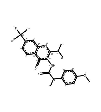 COc1ccc(C(C)C(=O)Nn2c(C(C)C)nc3cc(C(F)(F)F)ccc3c2=O)cc1